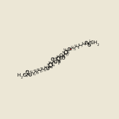 C=CC(=O)OCCCCCCCCCOc1ccc(C(=O)Oc2ccc(OC(=O)c3ccc(OCCCCCCCCCOC(=O)C=C)cc3)c(F)c2)cc1